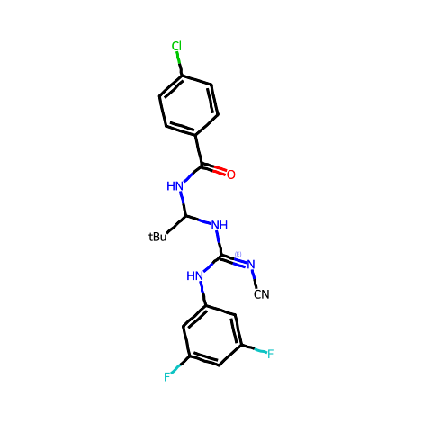 CC(C)(C)C(NC(=O)c1ccc(Cl)cc1)N/C(=N/C#N)Nc1cc(F)cc(F)c1